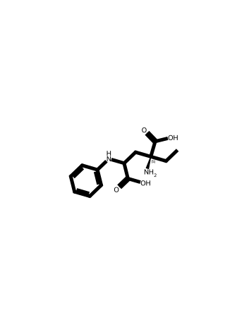 CC[C@](N)(CC(Nc1ccccc1)C(=O)O)C(=O)O